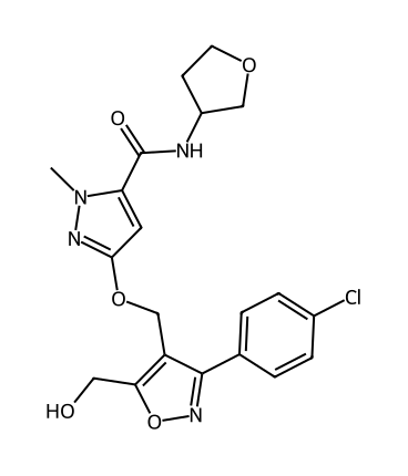 Cn1nc(OCc2c(-c3ccc(Cl)cc3)noc2CO)cc1C(=O)NC1CCOC1